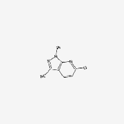 CC(C)n1nc(C#N)c2ccc(Cl)nc21